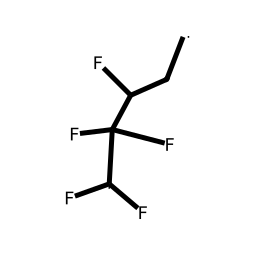 [CH2]CC(F)C(F)(F)[C](F)F